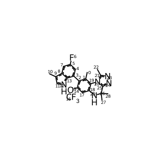 Cc1c(-c2cc(F)cc3c(C)c[nH]c23)c(OC(F)(F)F)cc2c1-n1c(C)nnc1C(C)(C)N2